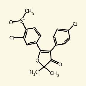 C[S+]([O-])c1ccc(C2=C(c3ccc(Cl)cc3)C(=O)C(C)(C)O2)cc1Cl